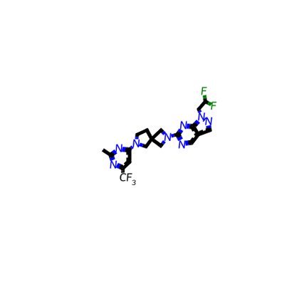 Cc1nc(N2CCC3(C2)CN(c2ncc4cnn(CC(F)F)c4n2)C3)cc(C(F)(F)F)n1